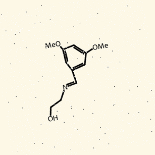 COc1cc(C=NCCO)cc(OC)c1